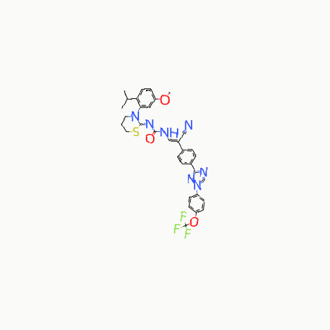 COc1ccc(C(C)C)c(N2CCCS/C2=N\C(=O)N/C=C(\C#N)c2ccc(-c3ncn(-c4ccc(OC(F)(F)F)cc4)n3)cc2)c1